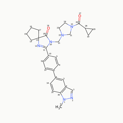 Cn1ncc2cc(-c3ccc(C4=NC5(CCCC5)C(=O)N4CN4CCN(C(=O)C5CC5)C4)cc3)ccc21